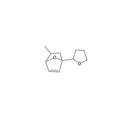 CC1CC2(C3CCCO3)C=CC1O2